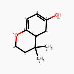 CC1(C)CCOC2=CC=C(O)CC21